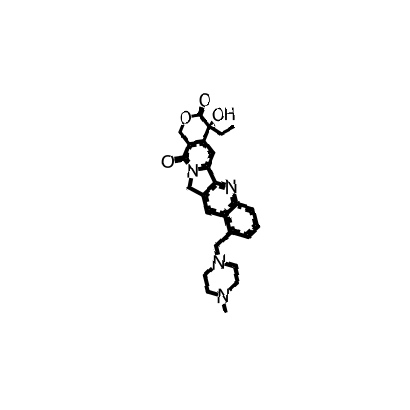 CC[C@@]1(O)C(=O)OCc2c1cc1n(c2=O)Cc2cc3c(CN4CCN(C)CC4)cccc3nc2-1